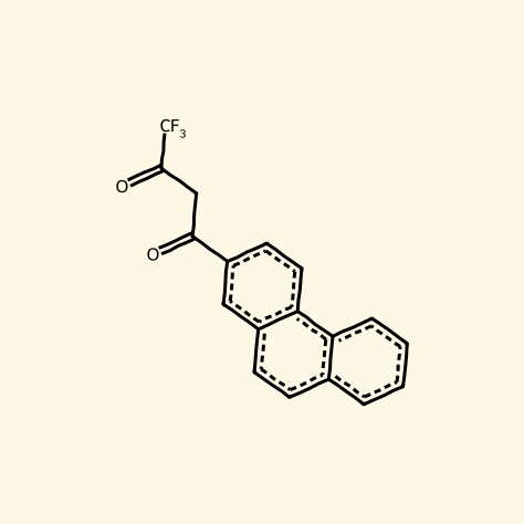 O=C(CC(=O)C(F)(F)F)c1ccc2c(ccc3ccccc32)c1